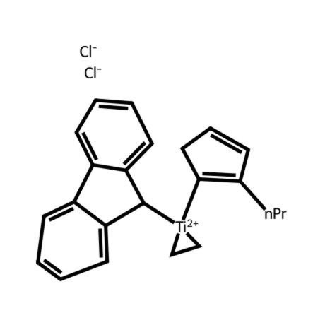 CCCC1=[C]([Ti+2]2([CH]3c4ccccc4-c4ccccc43)[CH2][CH2]2)CC=C1.[Cl-].[Cl-]